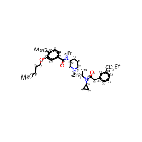 BN1C[C@H](N(C(=O)c2ccc(OC)c(OCCCOC)c2)C(C)C)CC[C@@H]1CCN(C(=O)Cc1cccc(C(=O)OCC)c1)C1CC1